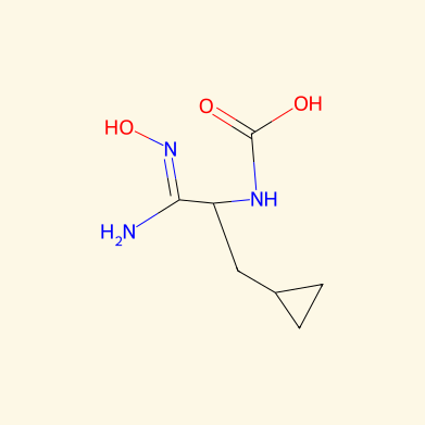 N/C(=N\O)C(CC1CC1)NC(=O)O